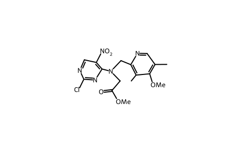 COC(=O)CN(Cc1ncc(C)c(OC)c1C)c1nc(Cl)ncc1[N+](=O)[O-]